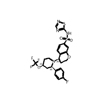 O=S(=O)(Nc1ncns1)c1ccc2c(c1)OCC[C@H]2N1CC[C@H](OC(F)(F)F)C[C@@H]1c1ccc(F)cc1